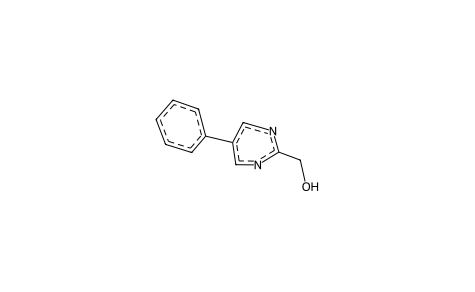 OCc1ncc(-c2ccccc2)cn1